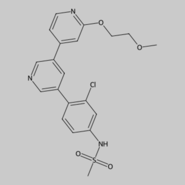 COCCOc1cc(-c2cncc(-c3ccc(NS(C)(=O)=O)cc3Cl)c2)ccn1